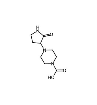 O=C1NCCC1N1CCN(C(=O)O)CC1